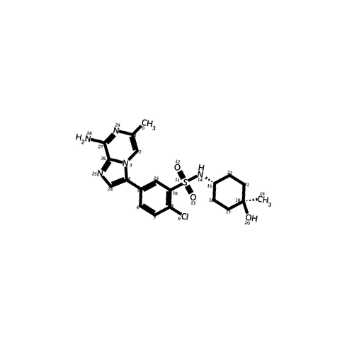 Cc1cn2c(-c3ccc(Cl)c(S(=O)(=O)N[C@H]4CC[C@](C)(O)CC4)c3)cnc2c(N)n1